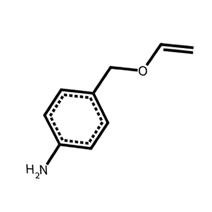 C=COCc1ccc(N)cc1